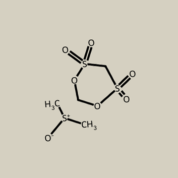 C[S+](C)[O-].O=S1(=O)CS(=O)(=O)OCO1